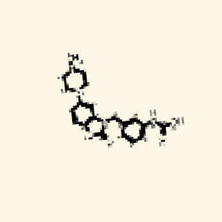 CN1CCN(c2ccc3oc(=O)n(Cc4cccc(NC(=O)O)c4)c3c2)CC1